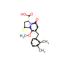 COc1c(Cc2cccc(C)c2C)cc(=O)n2c1C(=S)C[C@@H]2C(=O)O